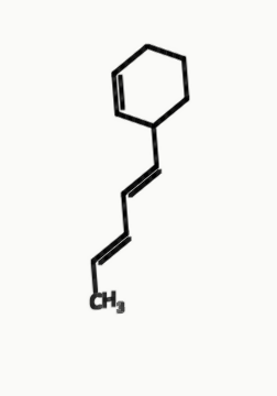 CC=CC=CC1C=CCCC1